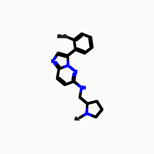 COc1ccccc1-c1cnc2ccc(NCC3CCCN3C(C)=O)nn12